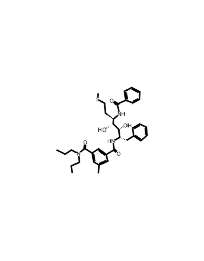 CCCN(CCC)C(=O)c1cc(C)cc(C(=O)N[C@@H](Cc2ccccc2)[C@@H](O)[C@H](O)[C@@H](CCSC)NC(=O)c2ccccc2)c1